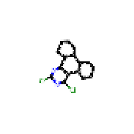 Clc1nc(Cl)c2c3ccccc3c3ccccc3c2n1